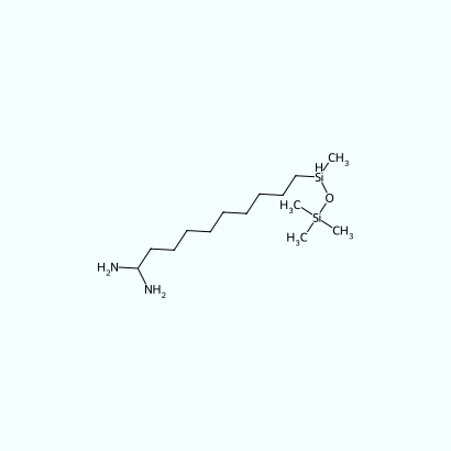 C[SiH](CCCCCCCCCC(N)N)O[Si](C)(C)C